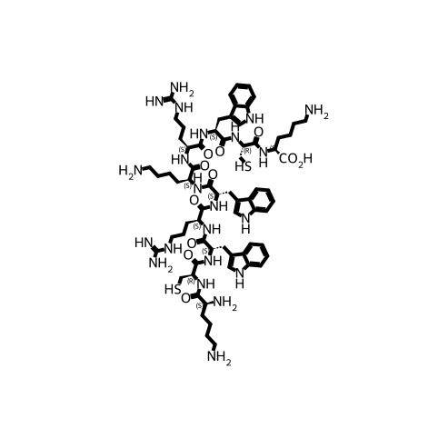 N=C(N)NCCC[C@H](NC(=O)[C@H](CCCCN)NC(=O)[C@H](Cc1c[nH]c2ccccc12)NC(=O)[C@H](CCCNC(=N)N)NC(=O)[C@H](Cc1c[nH]c2ccccc12)NC(=O)[C@H](CS)NC(=O)[C@@H](N)CCCCN)C(=O)N[C@@H](Cc1c[nH]c2ccccc12)C(=O)N[C@@H](CS)C(=O)N[C@@H](CCCCN)C(=O)O